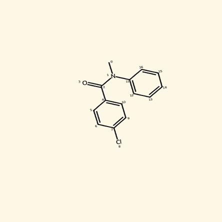 CN(C(=O)c1ccc(Cl)cc1)c1ccccc1